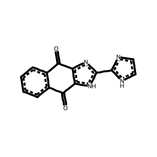 O=C1c2ccccc2C(=O)c2[nH]c(-c3ncc[nH]3)nc21